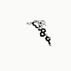 CC(C)CCCN(CC1CCCc2c(Oc3ccc(C#N)cn3)cccc21)C(=O)OC(C)(C)C